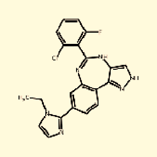 CCn1ccnc1-c1ccc2c(c1)N=C(c1c(F)cccc1Cl)Nc1c[nH]nc1-2